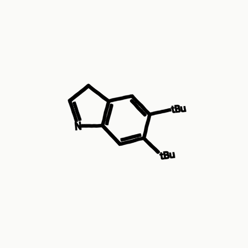 CC(C)(C)c1cc2c(cc1C(C)(C)C)N=CC2